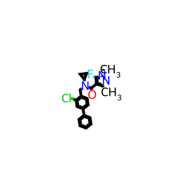 Cc1nn(C)c(F)c1C(=O)N(Cc1ccc(-c2ccccc2)cc1Cl)C1CC1